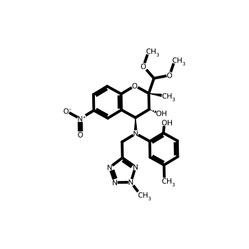 COC(OC)[C@@]1(C)Oc2ccc([N+](=O)[O-])cc2[C@H](N(Cc2nnn(C)n2)c2cc(C)ccc2O)[C@H]1O